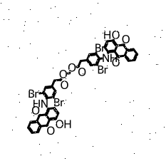 O=C(Cc1cc(Br)c(Nc2ccc(O)c3c2C(=O)c2ccccc2C3=O)c(Br)c1)OCOC(=O)Cc1cc(Br)c(Nc2ccc(O)c3c2C(=O)c2ccccc2C3=O)c(Br)c1